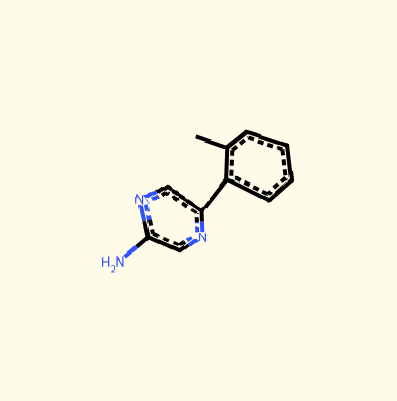 Cc1ccccc1-c1cnc(N)cn1